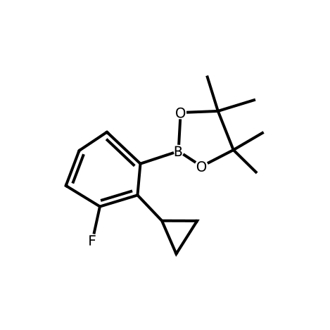 CC1(C)OB(c2cccc(F)c2C2CC2)OC1(C)C